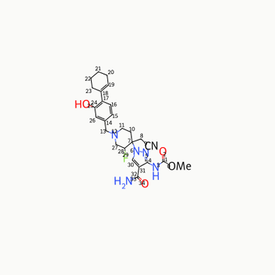 COC(=O)Nc1nn(C2(CC#N)CCN(Cc3ccc(C4=CCCCC4)c(O)c3)CC2F)cc1C(N)=O